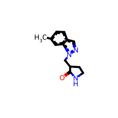 Cc1ccc2cnn(CC3CCNC3=O)c2c1